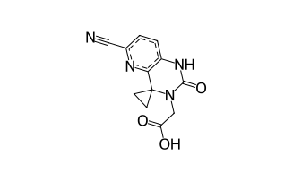 N#Cc1ccc2c(n1)C1(CC1)N(CC(=O)O)C(=O)N2